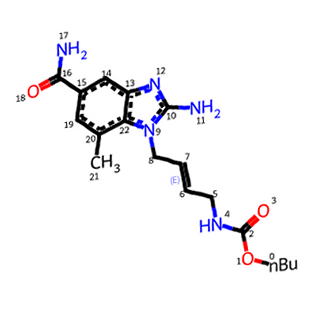 CCCCOC(=O)NC/C=C/Cn1c(N)nc2cc(C(N)=O)cc(C)c21